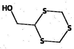 OCC1SCSCS1